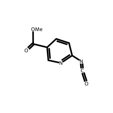 COC(=O)c1ccc(N=C=O)nc1